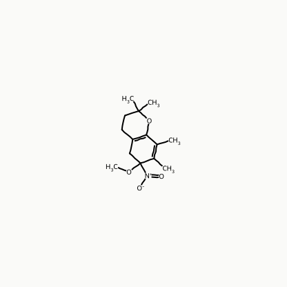 COC1([N+](=O)[O-])CC2=C(OC(C)(C)CC2)C(C)=C1C